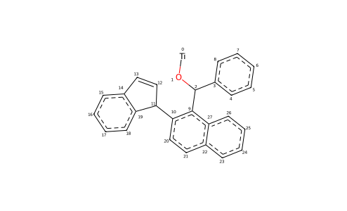 [Ti][O]C(c1ccccc1)c1c(C2C=Cc3ccccc32)ccc2ccccc12